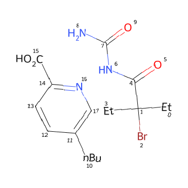 CCC(Br)(CC)C(=O)NC(N)=O.CCCCc1ccc(C(=O)O)nc1